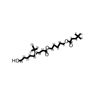 CC(C)(C)CCC(=O)OCCCCCOC(=O)CCN(CCCCCO)C(C)(C)C